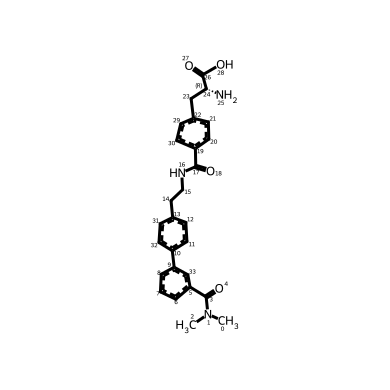 CN(C)C(=O)c1cccc(-c2ccc(CCNC(=O)c3ccc(C[C@@H](N)C(=O)O)cc3)cc2)c1